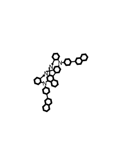 CC1(C)c2cc(N(c3ccc(-c4ccc5ccccc5c4)cc3)c3ccccc3C#N)ccc2-c2c1cc(N(c1ccc(-c3ccc4ccccc4c3)cc1)c1ccccc1C#N)c1ccccc21